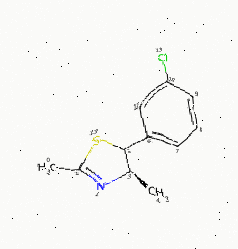 CC1=N[C@H](C)C(c2cccc(Cl)c2)S1